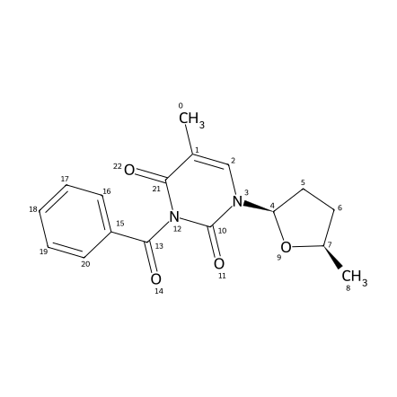 Cc1cn([C@H]2CC[C@@H](C)O2)c(=O)n(C(=O)c2ccccc2)c1=O